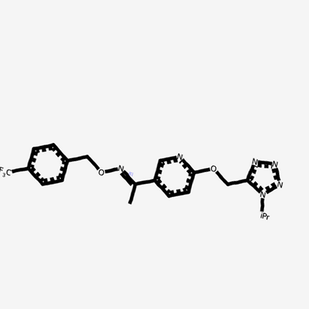 C/C(=N\OCc1ccc(C(F)(F)F)cc1)c1ccc(OCc2nnnn2C(C)C)nc1